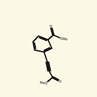 COC(=O)C#Cc1cccc(C(=O)OC)c1